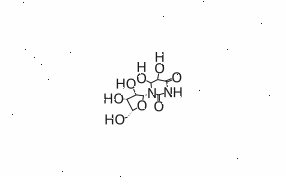 O=C1NC(=O)N([C@@H]2O[C@H](CO)[C@H](O)C2O)C(O)C1O